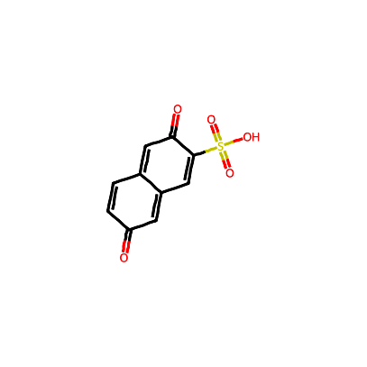 O=C1C=CC2=CC(=O)C(S(=O)(=O)O)=CC2=C1